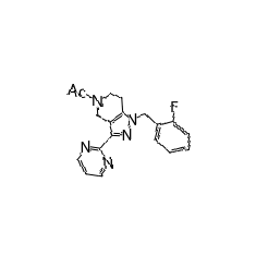 CC(=O)N1CCc2c(c(-c3ncccn3)nn2Cc2ccccc2F)C1